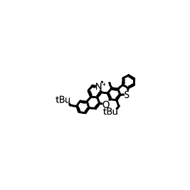 Cc1c2c(c(CC(C)(C)C)c3sc4ccccc4c13)Oc1cc3ccc(CC(C)(C)C)cc3c3cc[n+](C)c-2c13